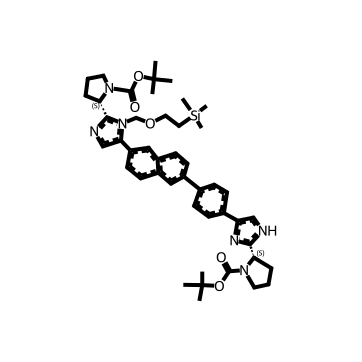 CC(C)(C)OC(=O)N1CCC[C@H]1c1nc(-c2ccc(-c3ccc4cc(-c5cnc([C@@H]6CCCN6C(=O)OC(C)(C)C)n5COCC[Si](C)(C)C)ccc4c3)cc2)c[nH]1